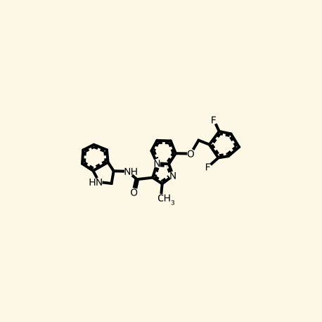 Cc1nc2c(OCc3c(F)cccc3F)cccn2c1C(=O)NC1CNc2ccccc21